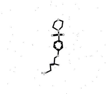 NC/C=C(\F)COc1ccc(S(=O)(=O)N2CCOCC2)cc1